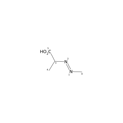 CN=NC(C)C(=O)O